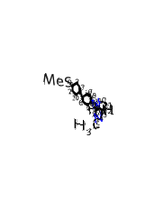 CSc1ccc(-c2ccc(N3CC[C@@H]4CN(C)C[C@@H]43)cc2)cc1